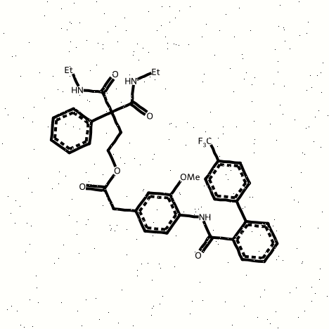 CCNC(=O)C(CCOC(=O)Cc1ccc(NC(=O)c2ccccc2-c2ccc(C(F)(F)F)cc2)c(OC)c1)(C(=O)NCC)c1ccccc1